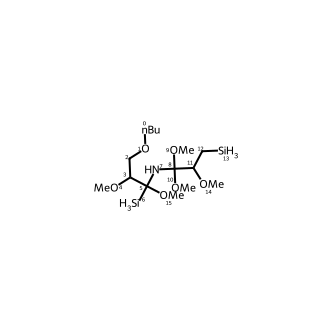 CCCCOCC(OC)C([SiH3])(NC(OC)(OC)C(C[SiH3])OC)OC